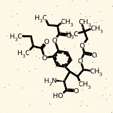 CCC(C)C(=O)Oc1ccc(C(C(C)C(C)OC(=O)OCC(C)(C)C)[C@H](N)C(=O)O)cc1OC(=O)C(C)CC